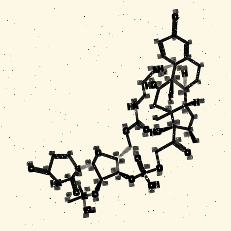 C[C@@H]1C[C@H]2[C@@H]3CCC4=CC(=O)C=C[C@]4(C)[C@@]3(F)C(O)CC2(C)[C@@]1(O)C(=O)COP(=O)(O)O[C@H]1[C@@H](O[Si](C)(C)C(C)(C)C)[C@H](n2ccc(=O)[nH]c2=O)O[C@@H]1COC(=O)NCCN